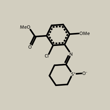 COC(=O)c1ccc(OC)c(N=C2CCCC[S+]2[O-])c1Cl